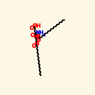 CCCCCCCCCCCCCCCCCC(=O)OCC(COC(=O)C(N)CCC(=O)O)OC(=O)CCCCCCCCCCCCCCCCC